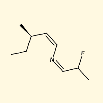 CC[C@@H](C)/C=C\N=C/C(C)F